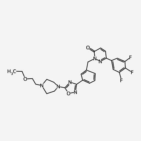 CCOCCN1CCN(c2nc(-c3cccc(Cn4nc(-c5cc(F)c(F)c(F)c5)ccc4=O)c3)no2)CC1